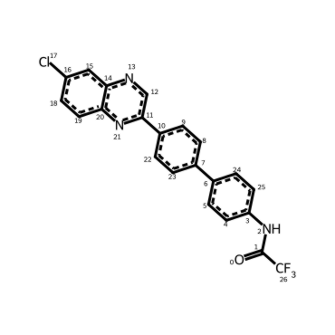 O=C(Nc1ccc(-c2ccc(-c3cnc4cc(Cl)ccc4n3)cc2)cc1)C(F)(F)F